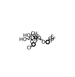 CN1c2nc(OCCOc3cccc(OC(F)(F)F)c3)n(Cc3ccc(Cl)cc3)c2C(=O)N(CCO)C1O